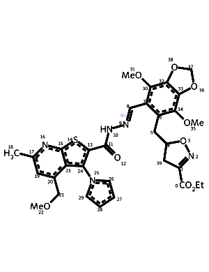 CCOC(=O)C1=NOC(Cc2c(/C=N/NC(=O)c3sc4nc(C)cc(COC)c4c3-n3cccc3)c(OC)c3c(c2OC)OCO3)C1